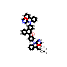 C=C/C=C(\C=C/C)c1ccccc1N(c1cccnc1)c1ccc2c(c1)oc1c3ccc(N(c4cccnc4)c4ccccc4-c4ccccc4)cc3c3ccccc3c21